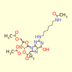 CC(=O)NCCCCCCNc1nc(O)c2ncn([C@@H]3O[C@H](COC(C)=O)[C@H](OC(C)=O)C3OC(C)=O)c2n1